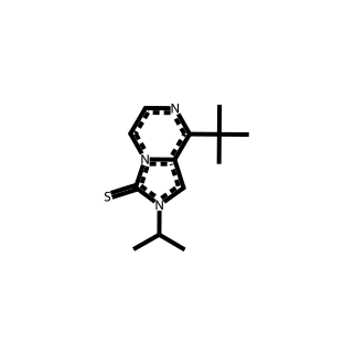 CC(C)n1cc2c(C(C)(C)C)nccn2c1=S